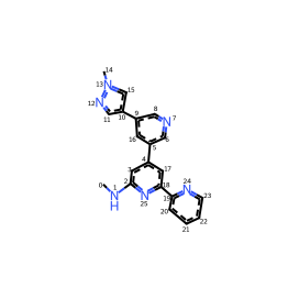 CNc1cc(-c2cncc(-c3cnn(C)c3)c2)cc(-c2ccccn2)n1